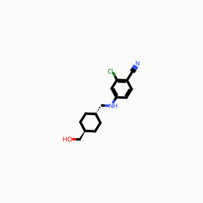 N#Cc1ccc(NC[C@H]2CC[C@H](CO)CC2)cc1Cl